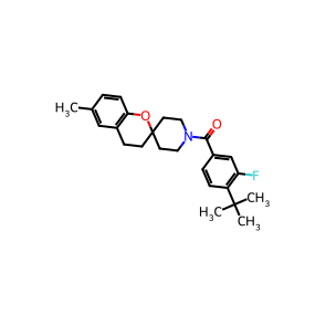 Cc1ccc2c(c1)CCC1(CCN(C(=O)c3ccc(C(C)(C)C)c(F)c3)CC1)O2